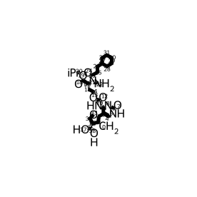 C=C1C(c2c[nH]c(=O)nc2NC(=O)OCC[C@H](C(=O)OC(C)C)N(N)C(=O)CCC2CCCCC2)OC[C@H]1C(O)O